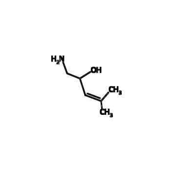 CC(C)=CC(O)CN